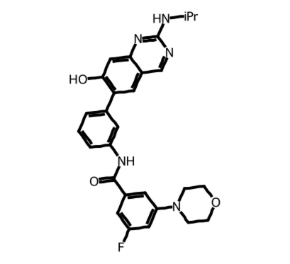 CC(C)Nc1ncc2cc(-c3cccc(NC(=O)c4cc(F)cc(N5CCOCC5)c4)c3)c(O)cc2n1